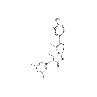 C=C(Nc1ccc(-c2ccc(N)nc2)c(C)c1)C(CC)c1cc(F)cc(F)c1